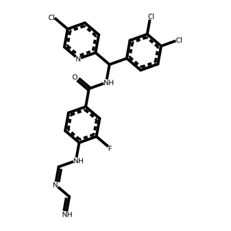 N=C/N=C\Nc1ccc(C(=O)NC(c2ccc(Cl)c(Cl)c2)c2ccc(Cl)cn2)cc1F